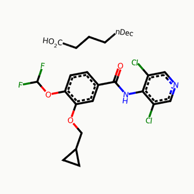 CCCCCCCCCCCCCC(=O)O.O=C(Nc1c(Cl)cncc1Cl)c1ccc(OC(F)F)c(OCC2CC2)c1